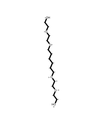 OCCOCCOCCCCCCOCCOCCO